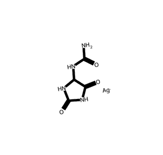 NC(=O)NC1NC(=O)NC1=O.[Ag]